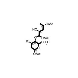 COC(O[C@H]1C(C(=O)O)O[C@@H](OC)C[C@H]1O)[C@@H](O)C[C@H](C)OC